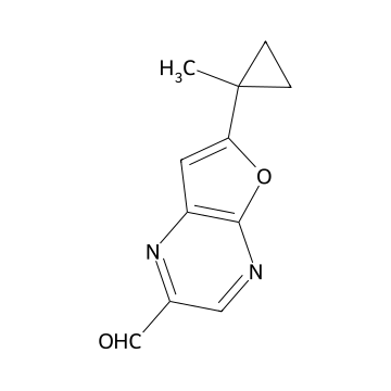 CC1(c2cc3nc(C=O)cnc3o2)CC1